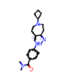 C/N=C1/CCN(C2CCC2)CC/C1=C/Nc1ccc(C(=O)N(C)C)cc1